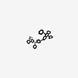 CCC(C)n1c2ccccc2c2cc(N(c3ccccc3)c3ccc(-c4ccc5c(-c6ccccc6)c6ccccc6c(-c6ccccc6)c5c4)cc3)ccc21